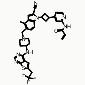 C=CC(=O)Nc1cc(C2CC(n3c(C#N)cc4c(C)c(CN5CCC(Nc6ncnc7sc(CC(F)(F)F)cc67)CC5)ccc43)C2)ccn1